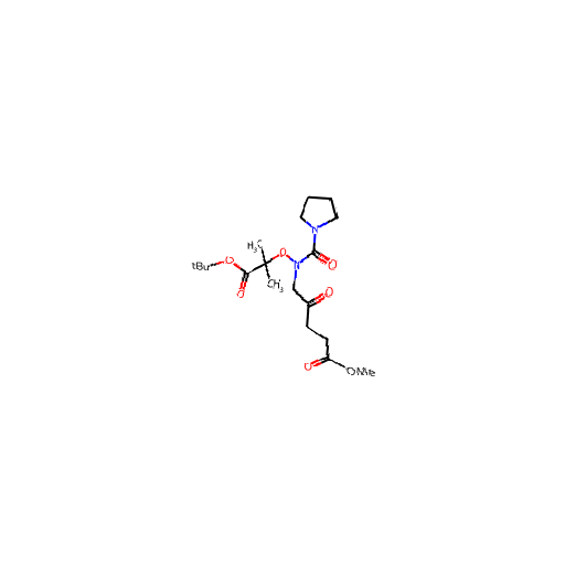 COC(=O)CCC(=O)CN(OC(C)(C)C(=O)OC(C)(C)C)C(=O)N1CCCC1